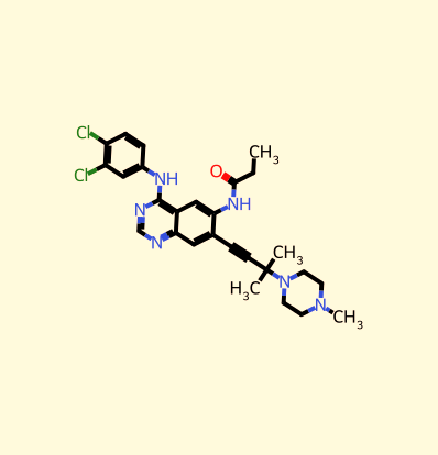 CCC(=O)Nc1cc2c(Nc3ccc(Cl)c(Cl)c3)ncnc2cc1C#CC(C)(C)N1CCN(C)CC1